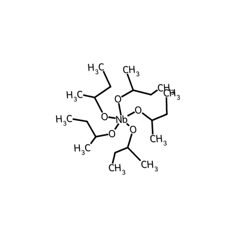 CCC(C)[O][Nb]([O]C(C)CC)([O]C(C)CC)([O]C(C)CC)[O]C(C)CC